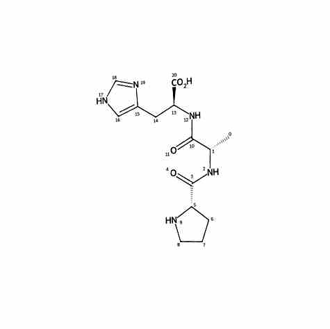 C[C@H](NC(=O)[C@@H]1CCCN1)C(=O)N[C@@H](Cc1c[nH]cn1)C(=O)O